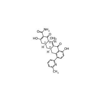 Cc1cccc(-c2ccc(O)c3c2C[C@H]2C[C@H]4CC(O)=C(C(N)=O)C(=O)[C@@]4(O)C(O)=C2C3=O)n1